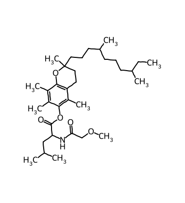 CCC(C)CCCC(C)CCCC1(C)CCc2c(C)c(OC(=O)C(CC(C)C)NC(=O)COC)c(C)c(C)c2O1